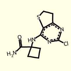 NC(=O)C1(Nc2nc(Cl)nc3c2SCC3)CCC1